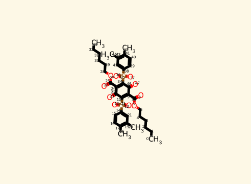 CCCCCCOC(=O)C1=C(S(=O)(=O)c2ccc(C)c(C)c2)C(=O)C(C(=O)OCCCCCC)=C(S(=O)(=O)c2ccc(C)c(C)c2)C1=O